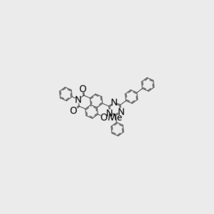 COc1ccc2c3c(ccc(-c4nc(-c5ccccc5)nc(-c5ccc(-c6ccccc6)cc5)n4)c13)C(=O)N(c1ccccc1)C2=O